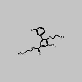 CCCCCCCCCCCCNC(=O)c1cc(-c2cccc(Cl)c2)c(OCCO)c(C(F)(F)F)c1